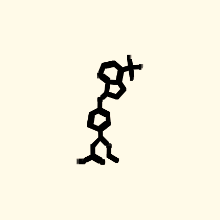 CCO[C@@H](CC(=O)O)c1ccc(OC2CCc3c(C(F)(F)F)ccnc32)cc1